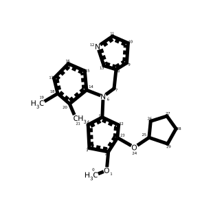 COc1ccc(N(Cc2cccnc2)c2cccc(C)c2C)cc1OC1CCCC1